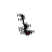 O=C(Cc1c[nH]cn1)NCC#CCCCc1cn([C@@H]2O[C@H](COP(=O)(O)OP(=O)(O)OP(=O)(O)O)[C@@H](O)[C@H]2O)c(=O)[nH]c1=O